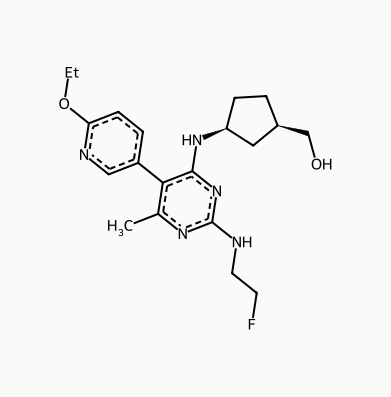 CCOc1ccc(-c2c(C)nc(NCCF)nc2N[C@H]2CC[C@@H](CO)C2)cn1